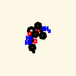 Cc1ccc(NC(=O)Nc2cc(-c3ccccc3C(N)=O)cc3c2OCCCC3c2ccccc2)cc1